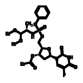 CCOC(OCC)[C@H](C)NP(=O)(OC[C@H]1O[C@@H](n2cc(F)c(=O)[nH]c2=O)C[C@@H]1OC(=O)CC)Oc1ccccc1